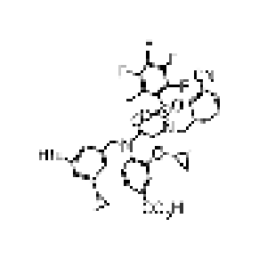 CC(C)(C)c1cc(CN(C(=O)CN(Cc2cccc(C#N)c2)S(=O)(=O)c2c(F)c(F)c(F)c(F)c2F)c2ccc(C(=O)O)cc2OC2CC2)cc(C2CC2)c1